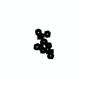 c1ccc(-n2c(-c3cccc(-n4c5ccccc5c5ccc6c(c7ccccc7c7nc8ccccc8n67)c54)c3)nc3ccccc32)cc1